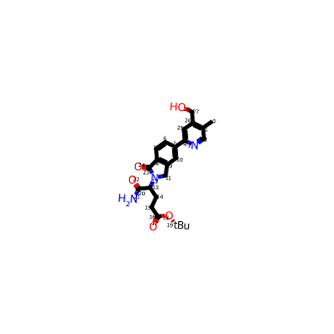 Cc1cnc(-c2ccc3c(c2)CN(C(CCC(=O)OC(C)(C)C)C(N)=O)C3=O)cc1CO